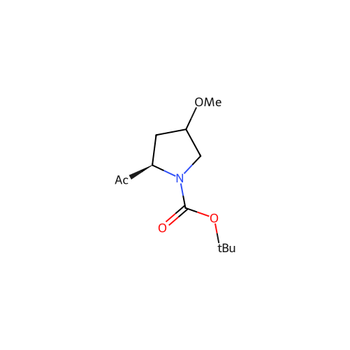 COC1C[C@H](C(C)=O)N(C(=O)OC(C)(C)C)C1